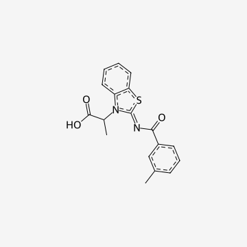 Cc1cccc(C(=O)N=c2sc3ccccc3n2C(C)C(=O)O)c1